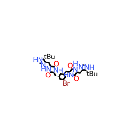 CC(C)(C)c1[nH]cnc1/C=c1\[nH]c(=O)/c(=C/c2cc(Br)cc(/C=c3\[nH]c(=O)/c(=C/c4nc[nH]c4C(C)(C)C)[nH]c3=O)c2)[nH]c1=O